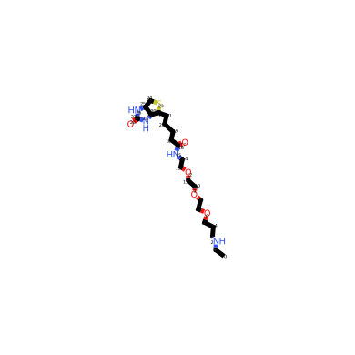 CCNCCCOCCOCCOCCNC(=O)CCCCC1SCC2NC(=O)NC21